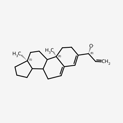 C=C[C@@H]([O])C1=CC2=CCC3C4CCC[C@@]4(C)CCC3[C@@]2(C)CC1